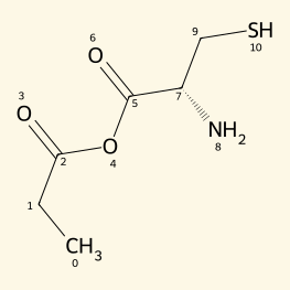 CCC(=O)OC(=O)[C@@H](N)CS